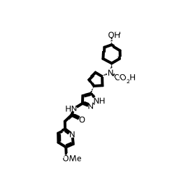 COc1ccc(CC(=O)Nc2cc([C@@H]3CC[C@H](N(C(=O)O)[C@H]4CC[C@@H](O)CC4)C3)[nH]n2)nc1